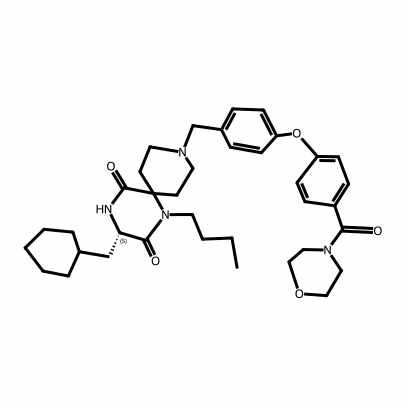 CCCCN1C(=O)[C@H](CC2CCCCC2)NC(=O)C12CCN(Cc1ccc(Oc3ccc(C(=O)N4CCOCC4)cc3)cc1)CC2